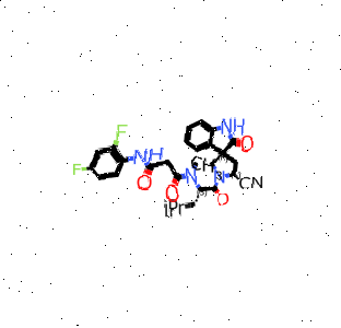 CC(C)C[C@@H](C(=O)N1C[C@]2(C[C@H]1C#N)C(=O)Nc1ccccc12)N(C)C(=O)CC(=O)Nc1ccc(F)cc1F